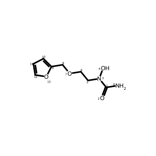 NC(=O)N(O)CCOCc1ccco1